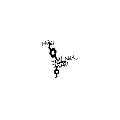 CCc1ccc(C(=O)Nc2[nH]c(-c3ccc(CC(=O)O)cc3)nc2C(N)=O)cc1